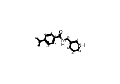 CC(C)c1ccc(C(=O)NCC2CCCNC2)cc1